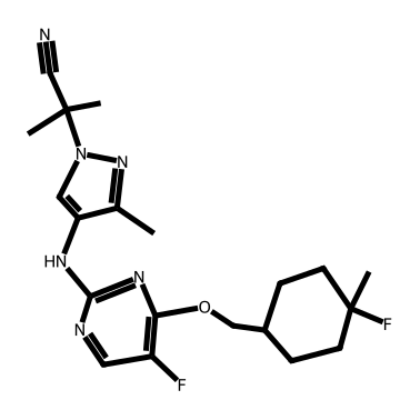 Cc1nn(C(C)(C)C#N)cc1Nc1ncc(F)c(OCC2CCC(C)(F)CC2)n1